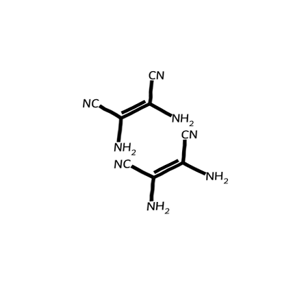 N#C/C(N)=C(/N)C#N.N#C/C(N)=C(/N)C#N